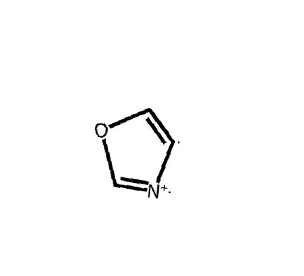 [C]1=COC=[N+]1